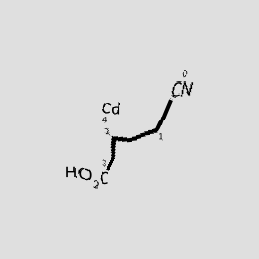 N#CCCC(=O)O.[Cd]